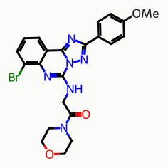 COc1ccc(-c2nc3c4cccc(Br)c4nc(NCC(=O)N4CCOCC4)n3n2)cc1